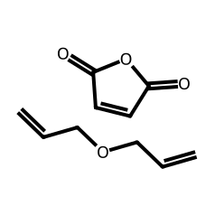 C=CCOCC=C.O=C1C=CC(=O)O1